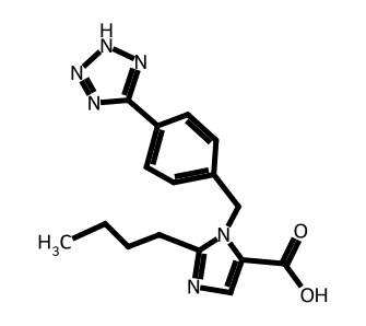 CCCCc1ncc(C(=O)O)n1Cc1ccc(-c2nn[nH]n2)cc1